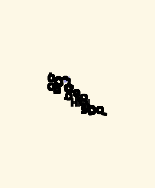 CCOc1ccc2sc(NC(=O)COc3cc(/C=C\c4cc(OC)c(OC)c(OC)c4)ccc3OC)nc2c1